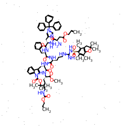 C=CCOC(=O)C[C@H](N)C(=O)N[C@@H](Cc1cn(C(c2ccccc2)(c2ccccc2)c2ccccc2)cn1)C(=O)N[C@H](Cc1ccccc1)C(=O)N[C@@H](CCCNC(=N)NS(=O)(=O)c1c(C)c(C)c2c(c1C)CC(C)(C)O2)C(=O)N[C@@H](Cc1cn(C(=O)OC(C)(C)C)c2ccccc12)C(=O)N[C@@H](CCCCNC(=O)OCC=C)C(=O)OC